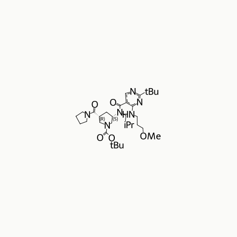 COCCCNc1nc(C(C)(C)C)ncc1C(=O)N(CC(C)C)[C@H]1C[C@@H](C(=O)N2CCCC2)CN(C(=O)OC(C)(C)C)C1